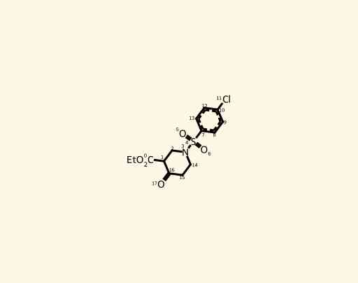 CCOC(=O)C1CN(S(=O)(=O)c2ccc(Cl)cc2)CCC1=O